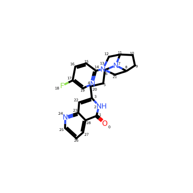 O=c1[nH]c(CCCN2C3CCC2CN(c2ccc(F)cn2)C3)cc2ncccc12